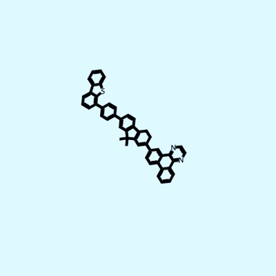 CC1(C)C2=C(CCC(c3ccc4c5ccccc5c5nccnc5c4c3)=C2)c2ccc(-c3ccc(-c4cccc5c4sc4ccccc45)cc3)cc21